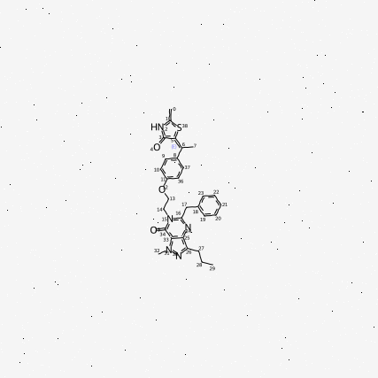 C=c1[nH]c(=O)/c(=C(/C)c2ccc(OCCn3c(Cc4ccccc4)nc4c(CCC)nn(C)c4c3=O)cc2)s1